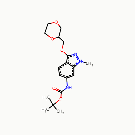 Cn1nc(OCC2COCCO2)c2ccc(NC(=O)OC(C)(C)C)cc21